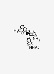 CC(=O)Nc1nc2ccc(-c3nn(Cc4cc5cccc(C)c5c(=O)n4C(C)C)c4ncnc(N)c34)cc2s1